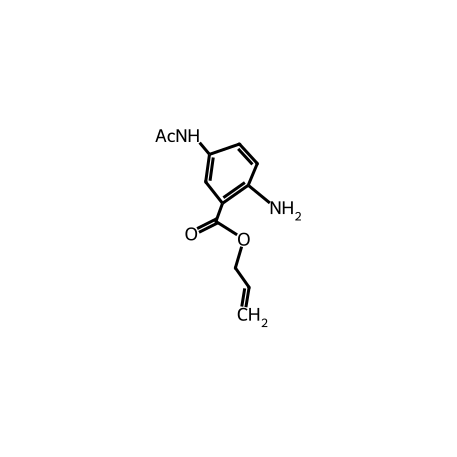 C=CCOC(=O)c1cc(NC(C)=O)ccc1N